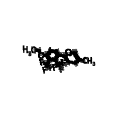 CCOc1ccc(C2CCC(C)=CO2)c(C(F)(F)F)c1C(F)(F)F